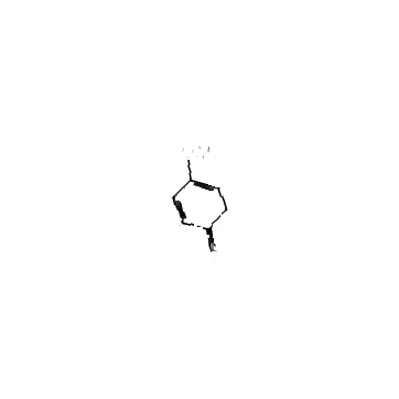 COC1=CCC(=S)C=C1